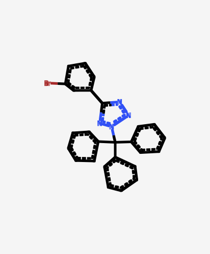 Brc1cccc(-c2nnn(C(c3ccccc3)(c3ccccc3)c3ccccc3)n2)c1